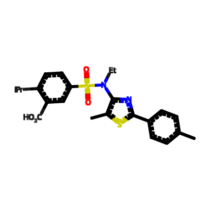 CCN(c1nc(-c2ccc(C)cc2)sc1C)S(=O)(=O)c1ccc(C(C)C)c(C(=O)O)c1